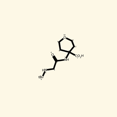 CC(C)(C)NCC(=O)NC1(C(=O)O)CCOCC1